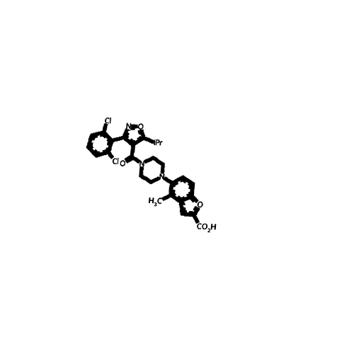 Cc1c(N2CCN(C(=O)c3c(-c4c(Cl)cccc4Cl)noc3C(C)C)CC2)ccc2oc(C(=O)O)cc12